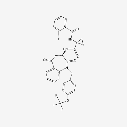 O=C(NC1(C(=O)N[C@@H]2CC(=O)c3ccccc3N(Cc3ccc(OC(F)(F)F)cc3)C2=O)CC1)c1ccccc1F